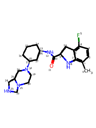 Cc1ccc(F)c2c1NC(C(=O)N[C@@H]1CCC[C@H](N3CCN4CNCC4C3)C1)C2